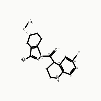 CO[C@@H]1CCc2c(c(N)nn2C(=O)C2CCNc3ccc(F)cc32)C1